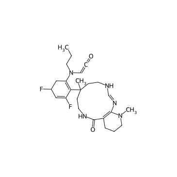 CCCN(C=C=O)C1=C(C2(C)CCN/C=N/C3=C(CCCN3C)C(=O)NCC2)C(F)=CC(F)C1